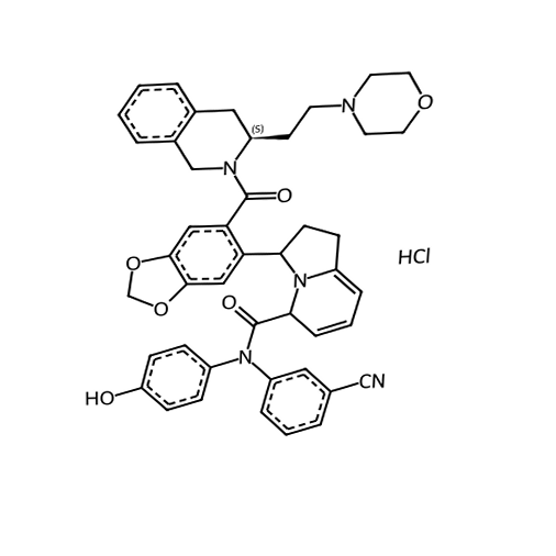 Cl.N#Cc1cccc(N(C(=O)C2C=CC=C3CCC(c4cc5c(cc4C(=O)N4Cc6ccccc6C[C@H]4CCN4CCOCC4)OCO5)N32)c2ccc(O)cc2)c1